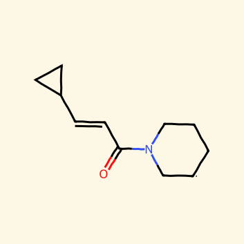 O=C(C=CC1CC1)N1C[CH]CCC1